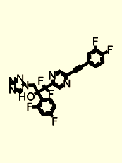 OC(Cn1cnnn1)(c1ccc(F)cc1F)C(F)(F)c1cnc(C#Cc2ccc(F)c(F)c2)cn1